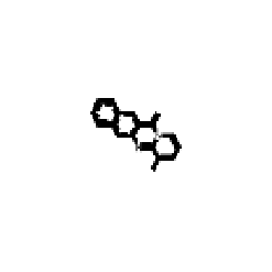 C=C1c2cc3ccccc3cc2N=C2C(C)=CC=CN12